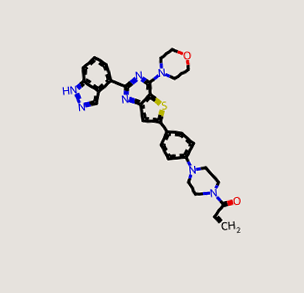 C=CC(=O)N1CCN(c2ccc(-c3cc4nc(-c5cccc6[nH]ncc56)nc(N5CCOCC5)c4s3)cc2)CC1